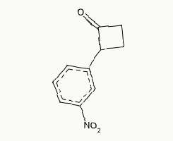 O=C1CCC1c1cccc([N+](=O)[O-])c1